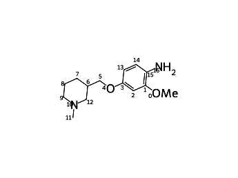 COc1cc(OCC2CCCN(C)C2)ccc1N